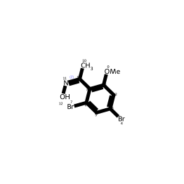 COc1cc(Br)cc(Br)c1/C(C)=N\O